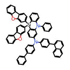 c1ccc(-c2ccc(N(c3ccc(-c4cccc5ccccc45)cc3)c3ccc4c(c3)N(c3ccccc3)c3ccccc3[Si]4(c3ccc4c(c3)oc3ccccc34)c3ccc4c(c3)oc3ccccc34)cc2)cc1